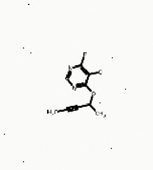 CC#CC(C)Oc1ncnc(F)c1Cl